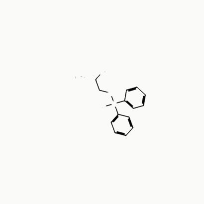 CCCCCC[C@H](O)CO[Si](c1ccccc1)(c1ccccc1)C(C)(C)C